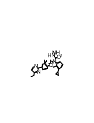 CCc1ccnc(-c2ccc(OCc3c(C4CC4)cccc3N(N)C(=O)NN)c(C)c2)n1